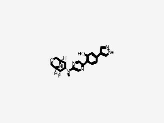 CN(c1cnc(-c2ccc(-c3cnn(C)c3)cc2O)cn1)[C@H]1C[C@@H]2COC[C@@H](N2)[C@H]1F